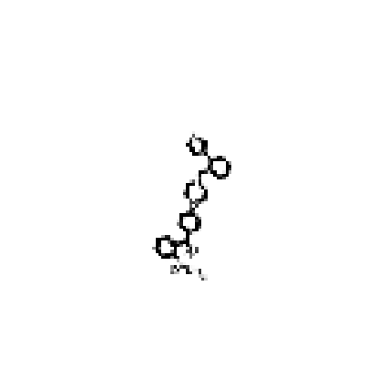 NS(=O)(=O)c1ccccc1C(=O)c1ccc(N2CCN(Cc3ccccc3-c3ccsc3)CC2)cc1